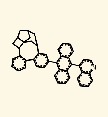 c1ccc2c(c1)-c1ccc(-c3c4ccccc4c(-c4ccnc5ccccc45)c4ccccc34)cc1C1CC3CC4CC2C4(C3)C1